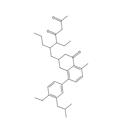 CCCC(CC1CC(=O)c2c(C)ccc(-c3ccc(CC)c(CC(C)C)c3)c2C1)C(CC)C(=O)CC(C)=O